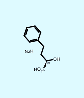 O=C(O)[C@H](O)CCc1ccccc1.[NaH]